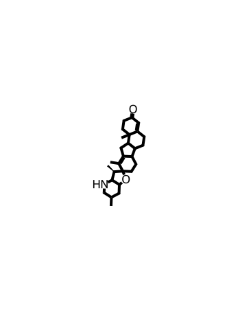 CC1=C2CC3C(CCC4=CC(=O)CCC43C)C2CCC12OC1CC(C)CNC1[C@H]2C